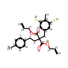 [3H]c1ccc(CCC(Cc2cc(F)c(C)c(F)c2)(C(=O)OCC=C)C(=O)OCC=C)cc1